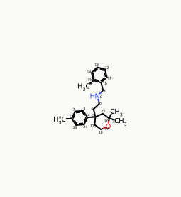 Cc1ccc(C2(CCNCc3ccccc3C)CCOC(C)(C)C2)cc1